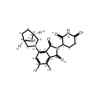 O=C1CCC(N2C(=O)c3c(N4C[C@H]5CC[C@@H](C4)N5)cc(F)c(F)c3C2=O)C(=O)N1